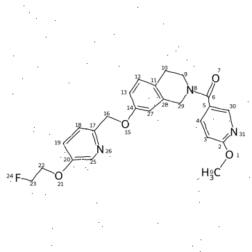 COc1ccc(C(=O)N2CCc3ccc(OCc4ccc(OCCF)cn4)cc3C2)cn1